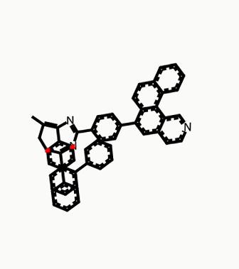 C\C1=C(c2ccc(-c3ccccc3)cc2)/N=C(c2ccc(-c3cc4ccncc4c4c3ccc3ccccc34)cc2)\N=C(\c2ccccc2-c2ccccc2)CC1